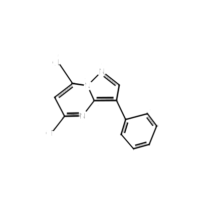 Clc1cc(Cl)n2ncc(-c3ccccc3)c2n1